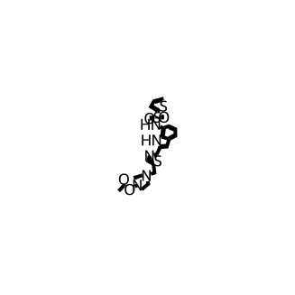 CC(=O)ON1CCN(Cc2cnc(-c3cc4cccc(NS(=O)(=O)c5cccs5)c4[nH]3)s2)CC1